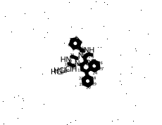 Cc1[nH]c(-c2ccccc2)nc1C(O)C(CC(c1ccccc1)c1ccccc1)N1CCNCC1.Cl.Cl.Cl